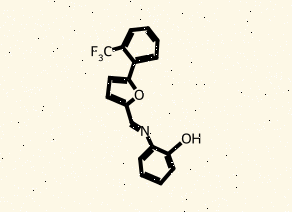 Oc1ccccc1N=Cc1ccc(-c2ccccc2C(F)(F)F)o1